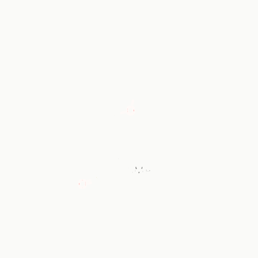 CSC(=Cc1ccc(C)cc1OCc1ccccc1)C[S+]=O